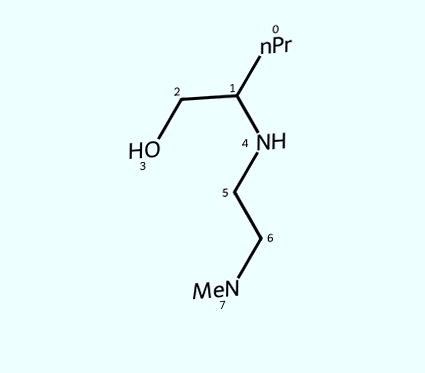 CCCC(CO)NCCNC